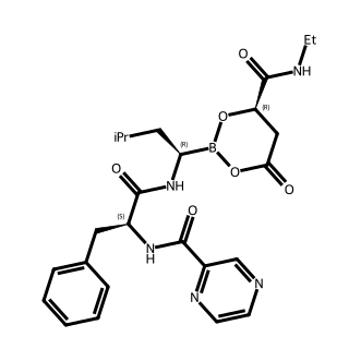 CCNC(=O)[C@H]1CC(=O)OB([C@H](CC(C)C)NC(=O)[C@H](Cc2ccccc2)NC(=O)c2cnccn2)O1